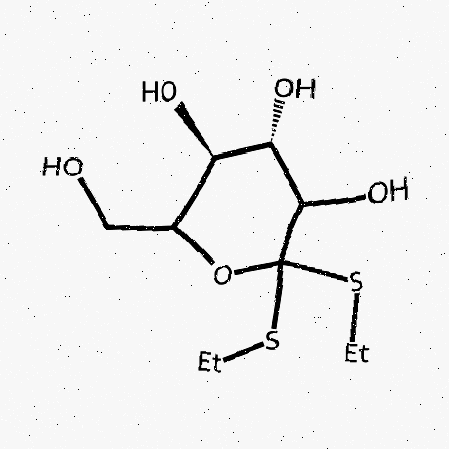 CCSC1(SCC)OC(CO)[C@@H](O)[C@H](O)C1O